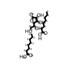 CCCCCCCC(=O)O.CCCCCCCC(=O)O.O=C1O[C@H]([C@@H](O)CO)C(O)=C1O